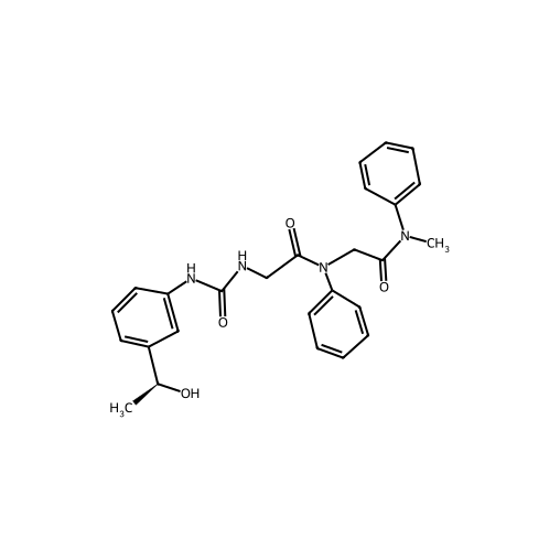 C[C@H](O)c1cccc(NC(=O)NCC(=O)N(CC(=O)N(C)c2ccccc2)c2ccccc2)c1